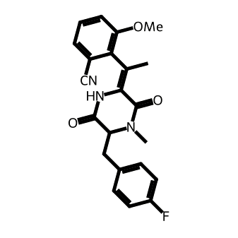 COc1cccc(C#N)c1C(C)=C1NC(=O)C(Cc2ccc(F)cc2)N(C)C1=O